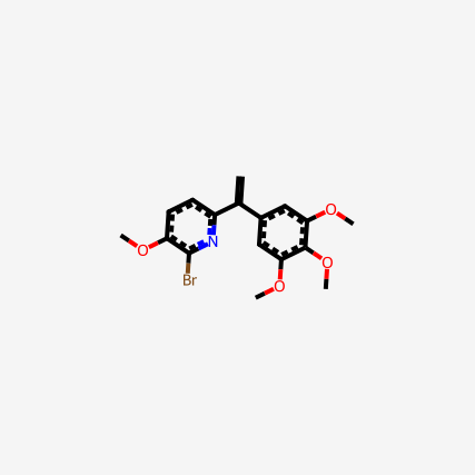 C=C(c1cc(OC)c(OC)c(OC)c1)c1ccc(OC)c(Br)n1